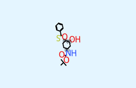 CC(C)(C)OC(=O)N[C@@H]1CC[C@@H](OC(=S)c2ccccc2)[C@H](O)C1